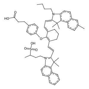 CCCCN1/C(=C/C=C2\CCCC(/C=C/C3=[N+](CCC(C)S(=O)(=O)O)c4ccc5ccccc5c4C3(C)C)=C2Oc2ccc(CCC(=O)O)cc2)C(C)(C)c2c1ccc1cc(C)ccc21